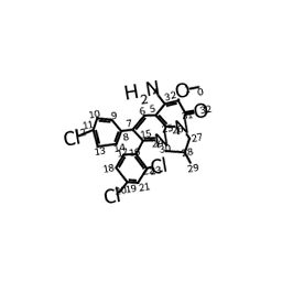 COc1c(N)c2cc(-c3ccc(Cl)cc3)c(-c3ccc(Cl)cc3Cl)nc2n(CC(C)C)c1=O